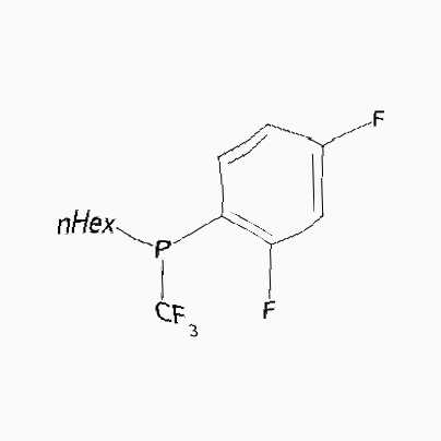 CCCCCCP(c1ccc(F)cc1F)C(F)(F)F